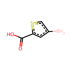 Bc1csc(C(=O)O)c1